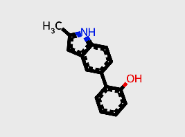 Cc1cc2cc(-c3ccccc3O)ccc2[nH]1